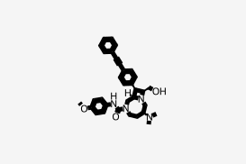 COc1ccc(NC(=O)N2CC[C@H](N(C)C)CN3[C@H](CO)[C@H](c4ccc(C#Cc5ccccc5)cc4)[C@@H]3C2)cc1